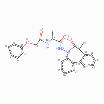 CC1C(=O)N(NC(=O)[C@H](C)NC(=O)COc2ccccc2)c2ccccc2-c2ccccc21